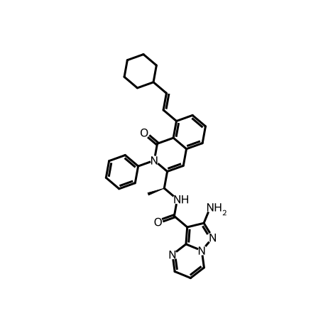 C[C@H](NC(=O)c1c(N)nn2cccnc12)c1cc2cccc(/C=C/C3CCCCC3)c2c(=O)n1-c1ccccc1